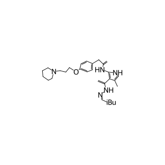 C=C(Cc1ccc(OCCCN2CCCCC2)cc1)Nc1[nH]cc(C)c1C(=C)N/N=C\C(C)CC